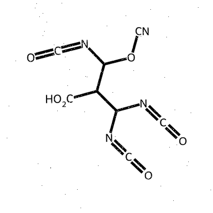 N#COC(N=C=O)C(C(=O)O)C(N=C=O)N=C=O